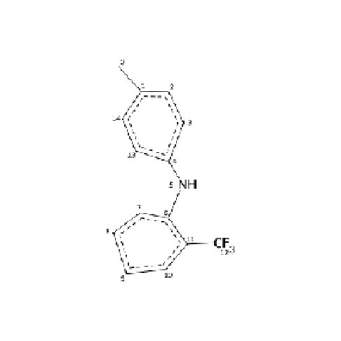 Cc1ccc(Nc2ccccc2C(F)(F)F)cc1